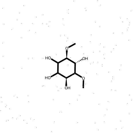 COC1[C@@H](O)C(O)C(O)[C@@H](OC)[C@@H]1O